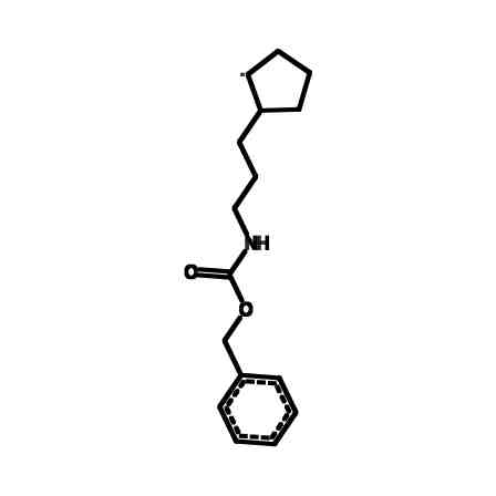 O=C(NCCCC1[CH]CCC1)OCc1ccccc1